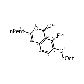 CCCCCCCCOc1ccc2cc(CCCCC)oc(=O)c2c1F